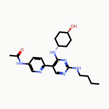 CCCCNc1ncc(-c2ccc(NC(C)=O)cn2)c(N[C@H]2CC[C@H](O)CC2)n1